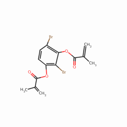 C=C(C)C(=O)Oc1ccc(Br)c(OC(=O)C(=C)C)c1Br